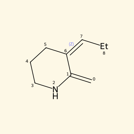 C=C1NCCC/C1=C/CC